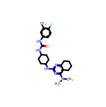 CN(C)c1nc(NC2CCC(NC(=O)Nc3ccc(F)c(C(F)(F)F)c3)CC2)nc2c1CCCC2